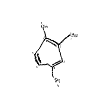 CCC(C)c1cc(C(C)C)ccc1O